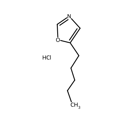 CCCCCc1cnco1.Cl